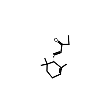 CCC(=O)/C=C/[C@@H]1C(C)=CCCC1(C)C